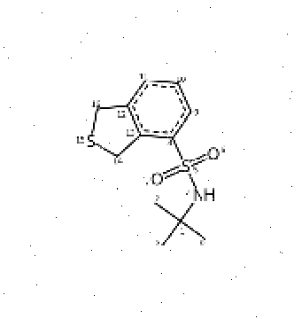 CC(C)(C)NS(=O)(=O)c1cccc2c1CSC2